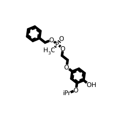 CC(C)Oc1cc(OCCOP(C)(=O)OCc2ccccc2)ccc1O